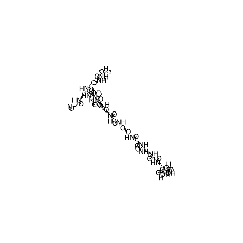 Cc1ccccc1NC(=O)Nc1ccc(CC(=O)N[C@@H](CCCCNC(=O)/C=C/c2cccnc2)C(=O)N[C@@H](CCCC(=O)O)C(=O)NC2(C(=O)NCCOCCOCCNC(=O)CCC(=O)NCCOCCOCCNC(=O)CCC(=O)N[C@@H](CCCCNC(=O)CCC(=O)NCCCC(O)(O[PH](=O)O)O[PH](=O)O)C(N)=O)CCCCC2)cc1